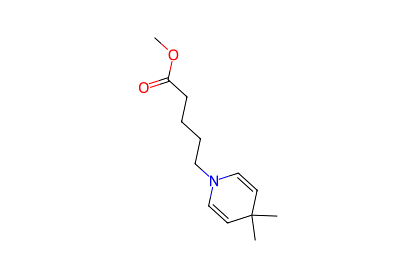 COC(=O)CCCCN1C=CC(C)(C)C=C1